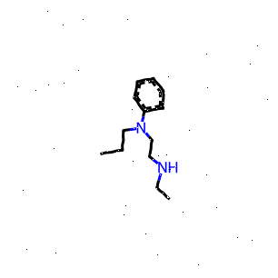 CCCN(CCNCC)c1ccccc1